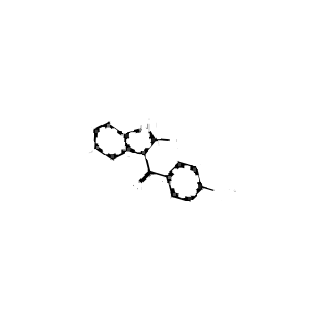 COc1ccc(C(=N)c2c(O)[nH]c3ccccc23)cc1